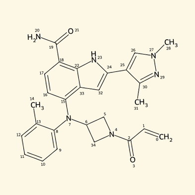 C=CC(=O)N1CC(N(c2ccccc2C)c2ccc(C(N)=O)c3[nH]c(-c4cn(C)nc4C)cc23)C1